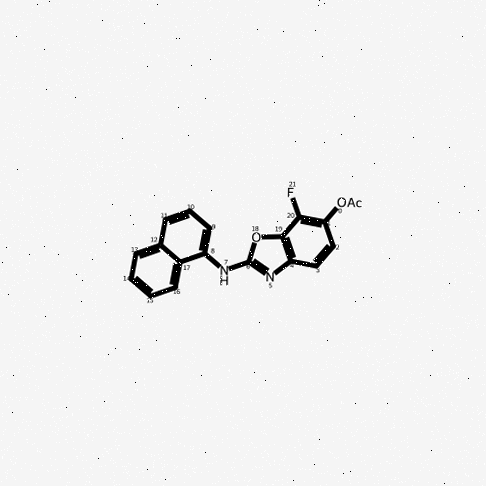 CC(=O)Oc1ccc2nc(Nc3cccc4ccccc34)oc2c1F